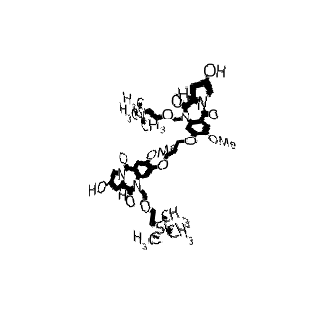 COc1cc2c(cc1OCCCOc1cc3c(cc1OC)C(=O)N1C[C@H](O)C[C@H]1C(=O)N3COCC[Si](C)(C)C)N(COCC[Si](C)(C)C)C(=O)[C@@H]1C[C@@H](O)CN1C2=O